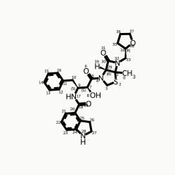 CC12SCN(C(=O)[C@@H](O)[C@H](Cc3ccccc3)NC(=O)c3cccc4c3CCN4)[C@@H]1C(=O)N2C[C@H]1CCCO1